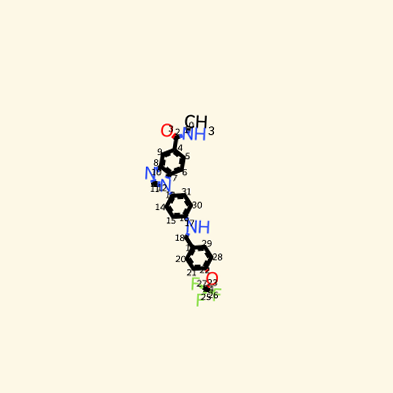 CNC(=O)c1ccc2c(c1)ncn2-c1ccc(NCc2ccc(OC(F)(F)F)cc2)cc1